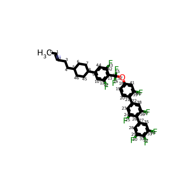 C/C=C/CCC1CCC(c2cc(F)c(C(F)(F)Oc3ccc(-c4cc(F)c(-c5cc(F)c(F)c(F)c5)c(F)c4)c(F)c3)c(F)c2)CC1